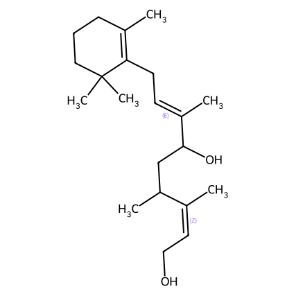 CC1=C(C/C=C(\C)C(O)CC(C)/C(C)=C\CO)C(C)(C)CCC1